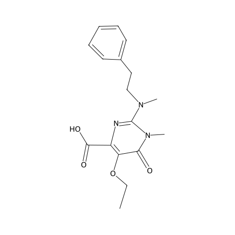 CCOc1c(C(=O)O)nc(N(C)CCc2ccccc2)n(C)c1=O